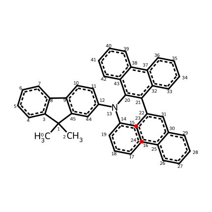 CC1(C)c2ccccc2-c2ccc(N(c3ccccc3)c3c(-c4ccc5ccccc5c4)c4ccccc4c4ccccc34)cc21